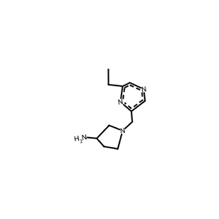 CCc1cncc(CN2CCC(N)C2)n1